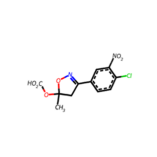 CC1(OC(=O)O)CC(c2ccc(Cl)c([N+](=O)[O-])c2)=NO1